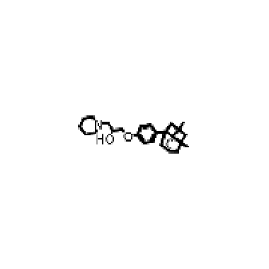 CC12CC3CC4(c5ccc(OC[C@@H](O)CN6CCCCC6)cc5)CC(C)(C1)C24C3